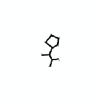 CC(C)C(C)C1CCCC1